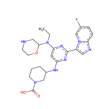 CCN(c1cc(NC2CCCN(C(=O)O)C2)nc(-c2cnc3ccc(F)cn23)n1)C1CNCCO1